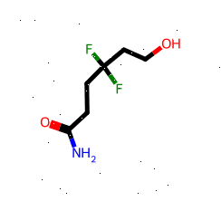 NC(=O)CCC(F)(F)CCO